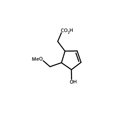 COCC1C(O)C=CC1CC(=O)O